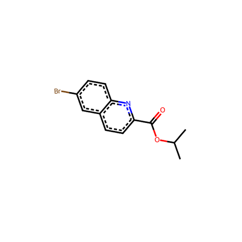 CC(C)OC(=O)c1ccc2cc(Br)ccc2n1